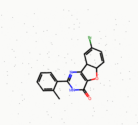 Cc1ccccc1-c1nc2c(c(=O)[nH]1)OC1C=CC(Br)=CC21